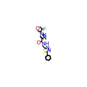 O=C(NCc1nnc(-c2ccccc2)s1)c1cn([C@H]2COC[C@@H]2F)nn1